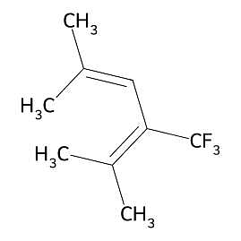 CC(C)=CC(=C(C)C)C(F)(F)F